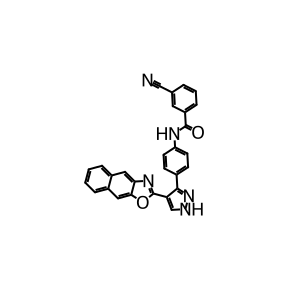 N#Cc1cccc(C(=O)Nc2ccc(-c3n[nH]cc3-c3nc4cc5ccccc5cc4o3)cc2)c1